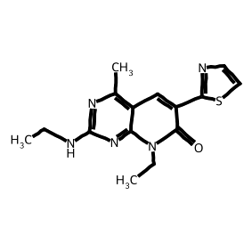 CCNc1nc(C)c2cc(-c3nccs3)c(=O)n(CC)c2n1